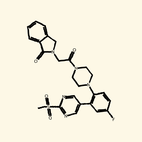 CS(=O)(=O)c1ncc(-c2cc(F)ccc2N2CCN(C(=O)CN3Cc4ccccc4C3=O)CC2)cn1